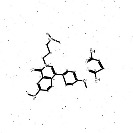 COc1ccc(-c2cn(CCCN(C)C)c(=O)c3cc(OC)ccc23)cc1.O=C(O)/C=C\C(=O)O